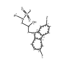 CC(C)N(CC(O)Cn1c2ccc(F)cc2c2ccc(F)cc21)S(C)(=O)=O